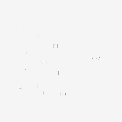 COc1ccc(CNc2nc(Br)cnc2NC(=O)c2c(Cl)c(C(C)(C)C)nn2C)cc1